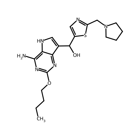 CCCCOc1nc(N)c2[nH]cc(C(O)c3cnc(CN4CCCC4)s3)c2n1